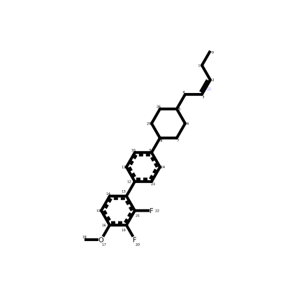 CC/C=C\CC1CCC(c2ccc(-c3ccc(OC)c(F)c3F)cc2)CC1